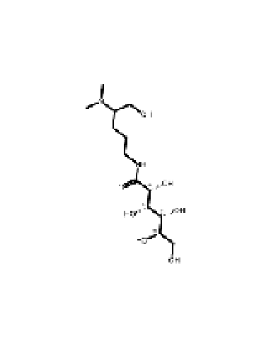 CN(C)C(CO)CCCNC(=O)[C@H](O)[C@@H](O)[C@H](O)[C@H](O)CO